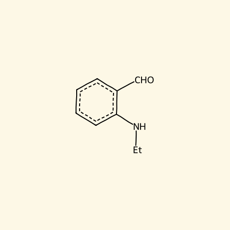 CCNc1ccccc1C=O